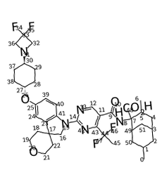 CC1CC2CC(C)C(NC(=O)c3cnc(N4CC5(CCOCC5)c5cc(O[C@H]6CC[C@H](N7CC(F)(F)C7)CC6)ccc54)nc3C(C)(F)F)(C(=O)O)C(C1)C2